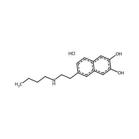 CCCCNCCc1ccc2cc(O)c(O)cc2c1.Cl